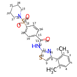 Cc1cccc(C)c1-c1csc(NC(=O)c2ccc(S(=O)(=O)N3CCCCC3)cc2)n1